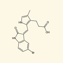 Cc1c[nH]c(C=C2C(=O)Nc3ccc(Br)cc32)c1CCC(=O)O